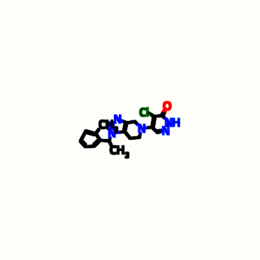 Cc1ccccc1C(C)n1nnc2c1CCN(c1cn[nH]c(=O)c1Cl)C2